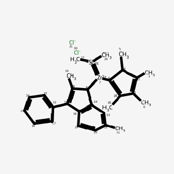 CC1=C(C)C(C)[C]([Zr+2]([CH]2C(C)=C(c3ccccc3)c3ccc(C)cc32)=[Si](C)C)=C1C.[Cl-].[Cl-]